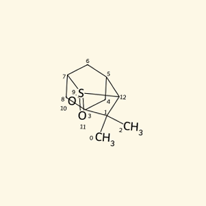 CC1(C)C2CC3CC(C2)S(=O)(=O)C31